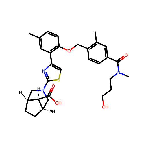 Cc1ccc(OCc2ccc(C(=O)N(C)CCCO)cc2C)c(-c2csc(N3C[C@H]4CC[C@@H](C3)[C@H]4C(=O)O)n2)c1